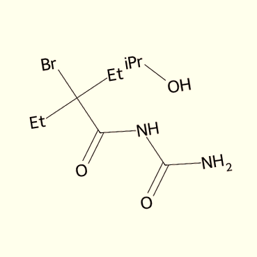 CC(C)O.CCC(Br)(CC)C(=O)NC(N)=O